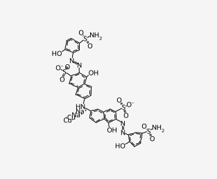 NS(=O)(=O)c1ccc(O)c(N=Nc2c(S(=O)(=O)[O-])cc3cc(Nc4ccc5c(O)c(N=Nc6cc(S(N)(=O)=O)ccc6O)c(S(=O)(=O)[O-])cc5c4)ccc3c2O)c1.[Cu].[Cu].[Na+].[Na+]